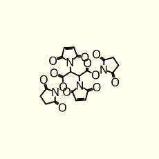 O=C(ON1C(=O)CCC1=O)C(C(C(=O)ON1C(=O)CCC1=O)N1C(=O)C=CC1=O)N1C(=O)C=CC1=O